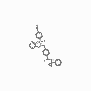 N#Cc1ccc(S(=O)(=O)N(Cc2ccc(C(=O)NC3(c4ccccc4)CC3)cc2)Cc2cccnc2)cc1